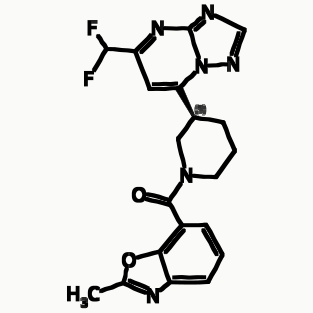 Cc1nc2cccc(C(=O)N3CCC[C@H](c4cc(C(F)F)nc5ncnn45)C3)c2o1